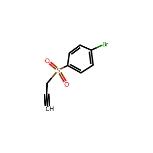 C#CCS(=O)(=O)c1ccc(Br)cc1